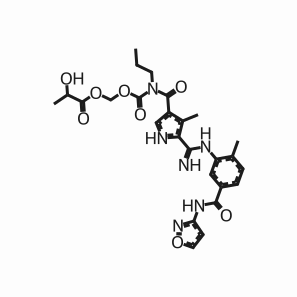 CCCN(C(=O)OCOC(=O)C(C)O)C(=O)c1c[nH]c(C(=N)Nc2cc(C(=O)Nc3ccon3)ccc2C)c1C